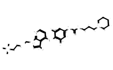 C[Si](C)(C)CCOCn1cc(Cl)c2c(Oc3c(F)cc(NC(=O)NCCCN4CCCCC4)cc3F)ccnc21